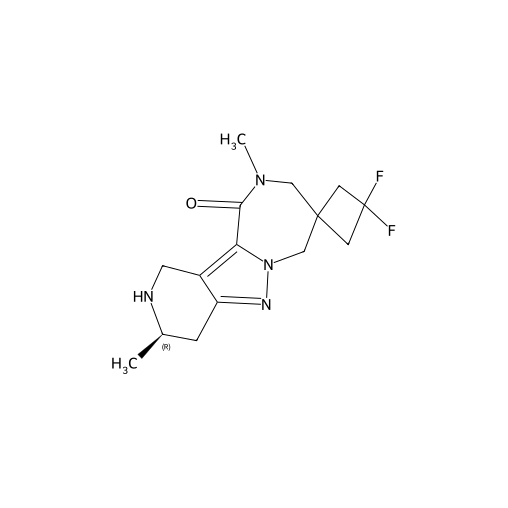 C[C@@H]1Cc2nn3c(c2CN1)C(=O)N(C)CC1(C3)CC(F)(F)C1